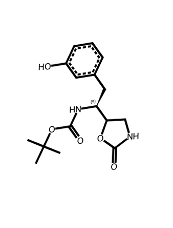 CC(C)(C)OC(=O)N[C@@H](Cc1cccc(O)c1)C1CNC(=O)O1